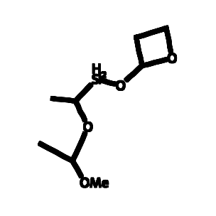 COC(C)OC(C)[SiH2]OC1CCO1